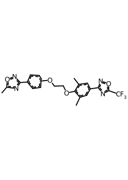 Cc1nc(-c2ccc(OCCOc3c(C)cc(-c4noc(C(F)(F)F)n4)cc3C)cc2)no1